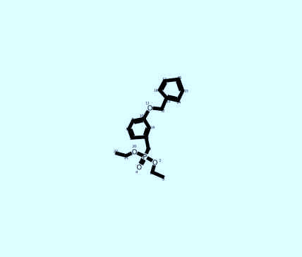 CCOP(=O)(Cc1cccc(OCc2ccccc2)c1)OCC